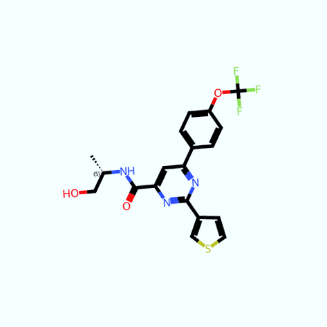 C[C@@H](CO)NC(=O)c1cc(-c2ccc(OC(F)(F)F)cc2)nc(-c2ccsc2)n1